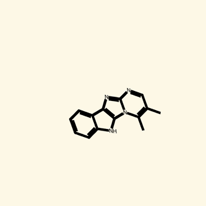 Cc1cnc2nc3c4ccccc4[nH]c3n2c1C